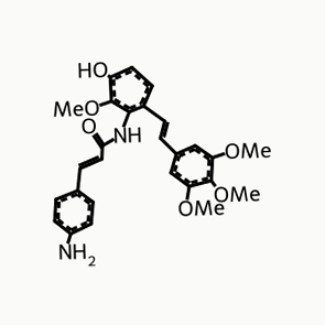 COc1cc(/C=C/c2ccc(O)c(OC)c2NC(=O)/C=C/c2ccc(N)cc2)cc(OC)c1OC